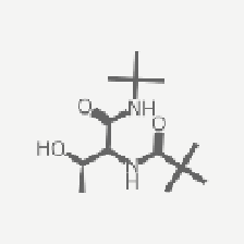 C[C@@H](O)C(NC(=O)C(C)(C)C)C(=O)NC(C)(C)C